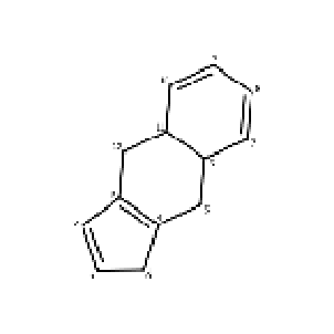 [CH]1C=CC2=C1CC1C=CC=CC1C2